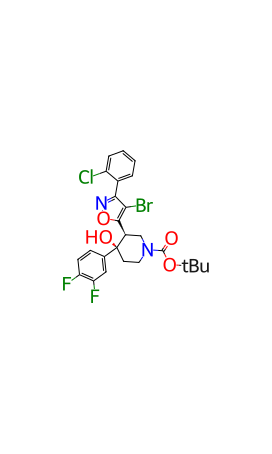 CC(C)(C)OC(=O)N1CC[C@](O)(c2ccc(F)c(F)c2)[C@@H](c2onc(-c3ccccc3Cl)c2Br)C1